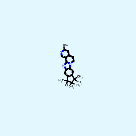 CC(C)(C)c1cc2ccn3c4cc5c(cc4nc3c2cn1)C(C)(C)C(C)(C)C5(C)C